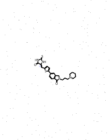 O=C1NC(=S)N/C1=C\c1ccc(-c2ccc3c(c2)CN(CCCN2CCCCC2)C3=O)s1